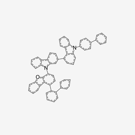 c1ccc(-c2ccc(-n3c4ccccc4c4c(-c5ccc6c7ccccc7n(-c7ccc(-c8ccccc8-c8ccccc8)c8c7oc7ccccc78)c6c5)cccc43)cc2)cc1